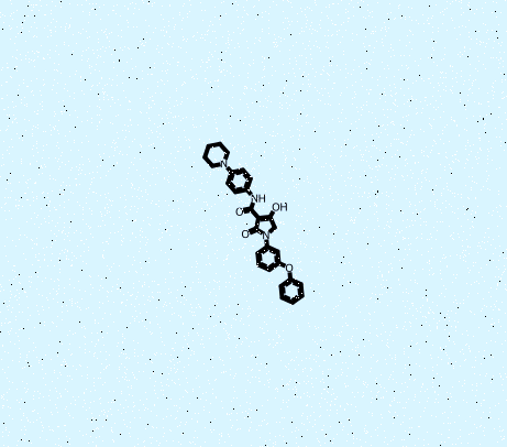 O=C(Nc1ccc(N2CCCCC2)cc1)C1=C(O)CN(c2cccc(Oc3ccccc3)c2)C1=O